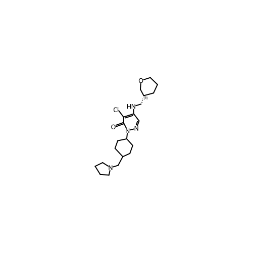 O=c1c(Cl)c(NC[C@H]2CCCOC2)cnn1C1CCC(CN2CCCC2)CC1